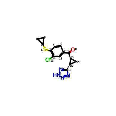 O=C(c1ccc(SC2CC2)c(Cl)c1)[C@H]1C[C@@H]1c1nn[nH]n1